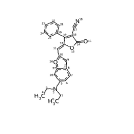 CCN(CC)c1ccc2cc(C=C3OC(=O)C(C#N)=C3c3ccccc3)oc2c1